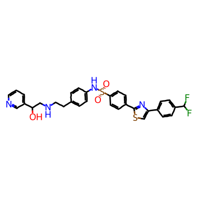 O=S(=O)(Nc1ccc(CCNCC(O)c2cccnc2)cc1)c1ccc(-c2nc(-c3ccc(C(F)F)cc3)cs2)cc1